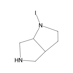 IN1CCC2CNCC21